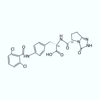 O=C(Nc1ccc(C[C@H](NC(=O)[C@@H]2CCc3n[nH]c(=O)n32)C(=O)O)cc1)c1c(Cl)cccc1Cl